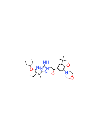 CCc1c(OC(CC)CC)nn2c(=N)n(CC(=O)c3cc(N4CCOCC4)c(OC)c(C(C)(C)C)c3)nc2c1C